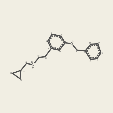 c1ccc(COc2cccc(CCNCC3CC3)c2)cc1